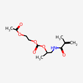 C=C(C)C(=O)NCC(C)OC(=O)OCCOC(C)=O